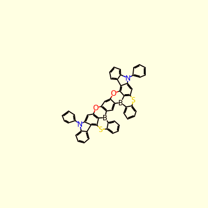 c1ccc(-n2c3ccccc3c3c4c5c(cc32)Sc2ccccc2B5c2cc3c(cc2O4)Oc2cc4c(c5c2B3c2ccccc2S5)c2ccccc2n4-c2ccccc2)cc1